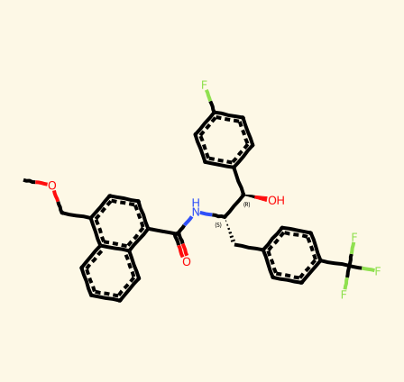 COCc1ccc(C(=O)N[C@@H](Cc2ccc(C(F)(F)F)cc2)[C@H](O)c2ccc(F)cc2)c2ccccc12